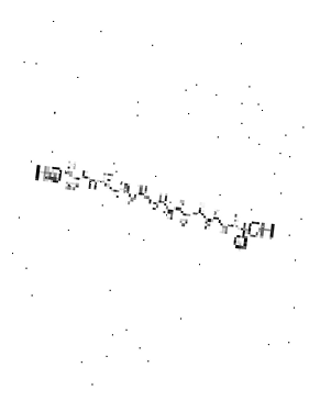 O=C(O)CCCCCCCCCCCCCCCCCC[CH]O